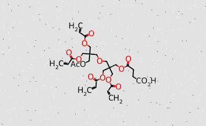 C=CC(=O)OCC(COCC(COC(=O)C=C)(COC(=O)C=C)COC(=O)CCC(=O)O)(COC(C)=O)COC(=O)C=C